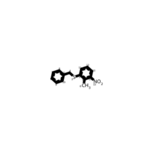 Cc1c(SCc2ccccc2)cccc1[N+](=O)[O-]